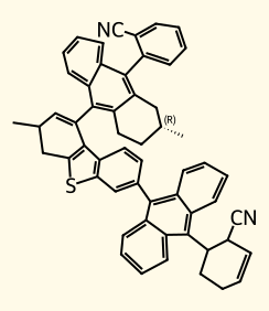 CC1C=C(c2c3c(c(-c4ccccc4C#N)c4ccccc24)C[C@H](C)CC3)c2c(sc3cc(-c4c5ccccc5c(C5CCC=CC5C#N)c5ccccc45)ccc23)C1